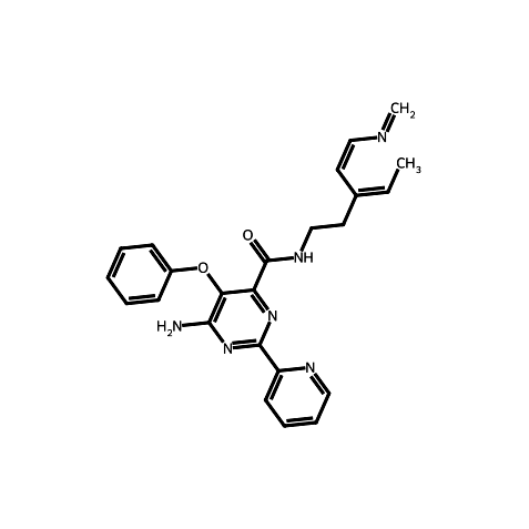 C=N/C=C\C(=C/C)CCNC(=O)c1nc(-c2ccccn2)nc(N)c1Oc1ccccc1